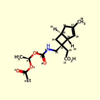 CCC(=O)O[C@@H](C)OC(=O)NC[C@@]1(CC(=O)O)C[C@H]2CC(C)=C[C@@H]21